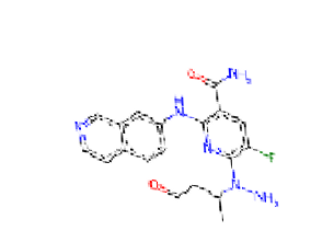 CC(CC=O)N(N)c1nc(Nc2ccc3ccncc3c2)c(C(N)=O)cc1F